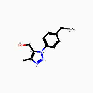 COCc1ccc(-n2nnc(C)c2CO)cc1